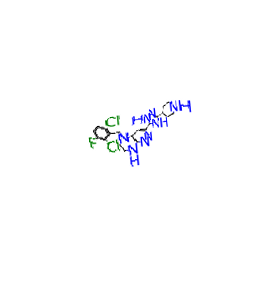 Fc1ccc(Cl)c(CN2CCNC3N=NC(C4NN=C(C5CCNCC5)N4)=CC32)c1Cl